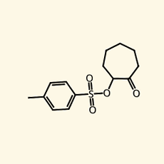 Cc1ccc(S(=O)(=O)OC2CCCCCC2=O)cc1